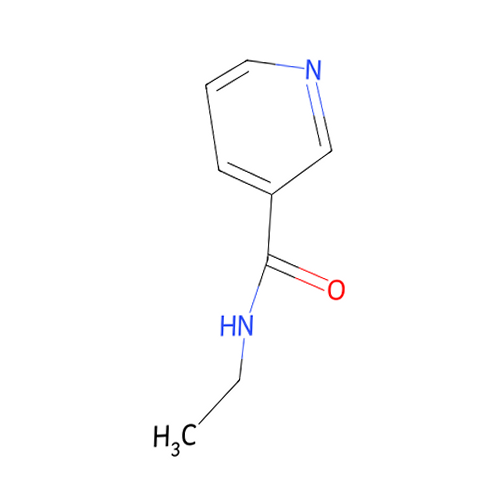 CCNC(=O)c1cccnc1